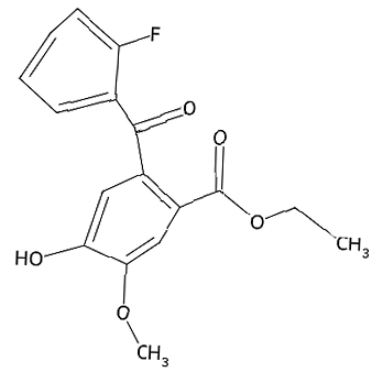 CCOC(=O)c1cc(OC)c(O)cc1C(=O)c1ccccc1F